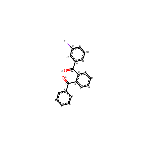 O=C(c1ccccc1)c1ccccc1C(=O)c1cccc(I)c1